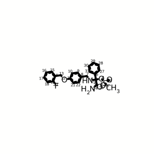 CS(=O)(=O)OC(NCc1ccc(OCc2ccccc2F)cc1)(C(N)=O)c1ccccc1